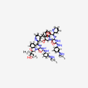 CCC(C)(CO)C(=O)CN1C(=O)C(NC(=O)Nc2cccc(NC)c2)N=C(c2cc(C3CC3(CO)C(=O)CN3C(=O)C(NC(=O)Nc4cccc(NC)c4)N=C(c4ccccn4)c4ccccc43)ccn2)c2ccccc21